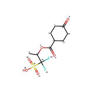 CC(OC(=O)C1CCC(=O)CC1)C(F)(F)S(=O)(=O)O